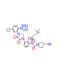 CC(C)(C)CCC(=O)Oc1c(NC(=O)N2CCC(C#N)CC2)cccc1N1CCN(c2cc(Cl)ccc2-n2cnnn2)C(=O)C1=O